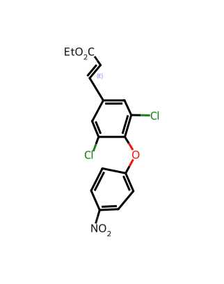 CCOC(=O)/C=C/c1cc(Cl)c(Oc2ccc([N+](=O)[O-])cc2)c(Cl)c1